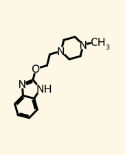 CN1CCN(CCOc2nc3ccccc3[nH]2)CC1